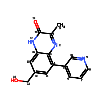 Cc1nc2c(-c3cccnc3)cc(CO)cc2[nH]c1=O